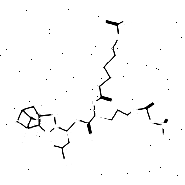 CC(=O)SCCCCCC(=O)N[C@@H](CCCNC(=N)N[N+](=O)[O-])C(=O)N[C@@H](CC(C)C)B1O[C@@H]2C[C@@H]3C[C@@H](C3(C)C)[C@]2(C)O1